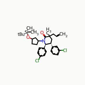 C=CCC1(C)C[C@H](c2cccc(Cl)c2)[C@@H](c2ccc(Cl)cc2)N(C2CCC(O[Si](C)(C)C(C)(C)C)C2)C1=O